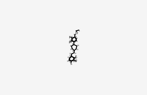 CCOCc1ccc(C2CCC(CCc3ccc(C)c(F)c3F)CC2)c(F)c1F